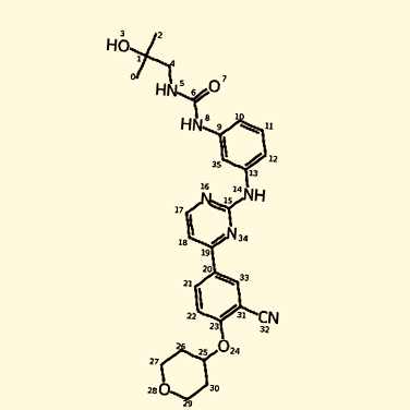 CC(C)(O)CNC(=O)Nc1cccc(Nc2nccc(-c3ccc(OC4CCOCC4)c(C#N)c3)n2)c1